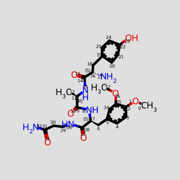 COc1ccc(C[C@H](NC(=O)[C@@H](C)NC(=O)[C@@H](N)Cc2ccc(O)cc2)C(=O)NCCC(N)=O)cc1OC